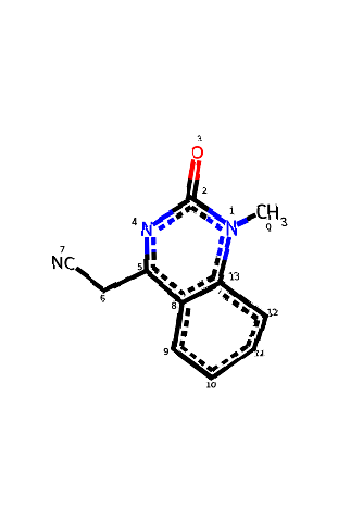 Cn1c(=O)nc(CC#N)c2ccccc21